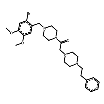 COc1cc(Br)c(CN2CCN(C(=O)CN3CCN(CCc4ccccc4)CC3)CC2)cc1OC